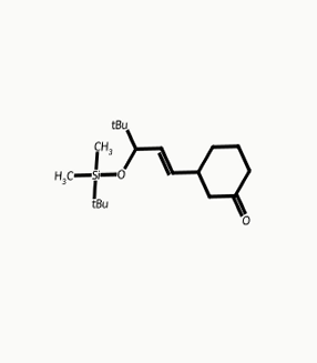 CC(C)(C)C(C=CC1CCCC(=O)C1)O[Si](C)(C)C(C)(C)C